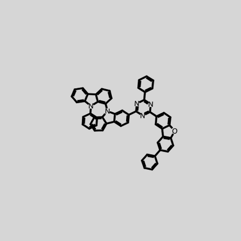 c1ccc(-c2ccc3oc4ccc(-c5nc(-c6ccccc6)nc(-c6ccc7c8ccccc8n(-c8cccc9c%10ccccc%10n(-c%10ccccc%10)c89)c7c6)n5)cc4c3c2)cc1